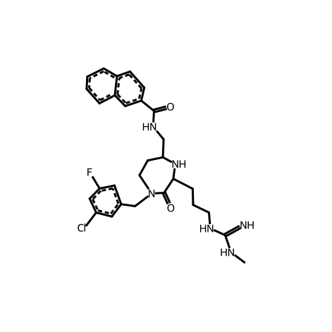 CNC(=N)NCCCC1NC(CNC(=O)c2ccc3ccccc3c2)CCN(Cc2cc(F)cc(Cl)c2)C1=O